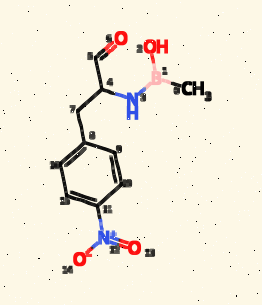 CB(O)NC(C=O)Cc1ccc([N+](=O)[O-])cc1